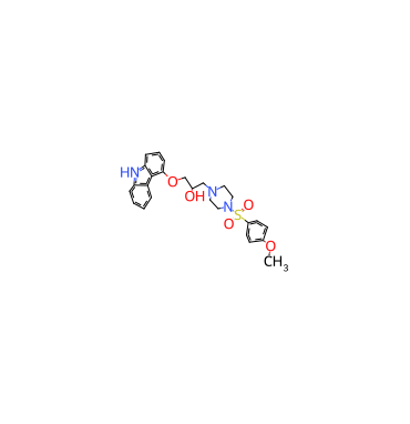 COc1ccc(S(=O)(=O)N2CCN(C[C@H](O)COc3cccc4[nH]c5ccccc5c34)CC2)cc1